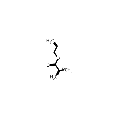 C=CCOC(=O)C(=C)[12CH3]